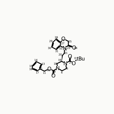 CC(C)(C)OC(=O)N1CCN(C(=O)OCc2ccccc2)C[C@H]1CCN1C(=O)COc2ccccc21